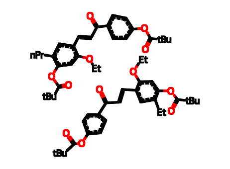 CCCc1cc(C=CC(=O)c2ccc(OC(=O)C(C)(C)C)cc2)c(OCC)cc1OC(=O)C(C)(C)C.CCOc1cc(OC(=O)C(C)(C)C)c(CC)cc1C=CC(=O)c1ccc(OC(=O)C(C)(C)C)cc1